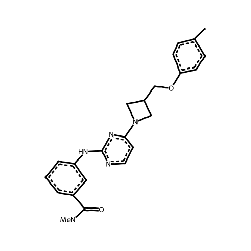 CNC(=O)c1cccc(Nc2nccc(N3CC(COc4ccc(C)cc4)C3)n2)c1